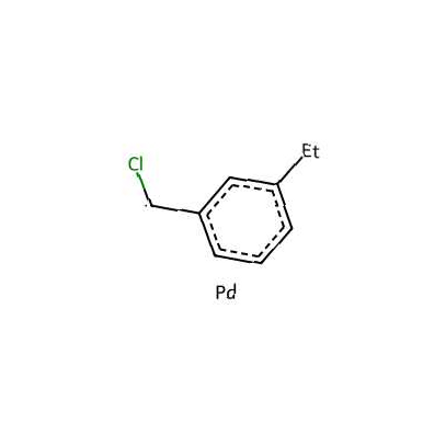 CCc1cccc([CH]Cl)c1.[Pd]